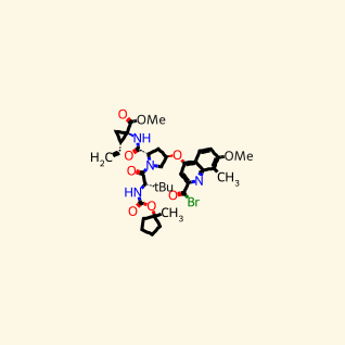 C=C[C@@H]1C[C@]1(NC(=O)[C@@H]1C[C@@H](Oc2cc(C(=O)Br)nc3c(C)c(OC)ccc23)CN1C(=O)[C@@H](NC(=O)OC1(C)CCCC1)C(C)(C)C)C(=O)OC